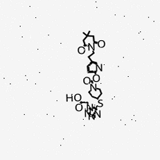 CC1(C)CC(=O)N(CCc2ccc(OC(=O)N3CCC(Sc4nnnn4CC(=O)O)CC3)nc2)C(=O)C1